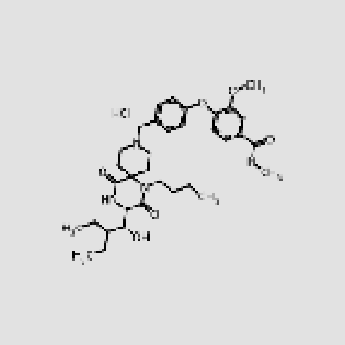 CCCCN1C(=O)[C@@H]([C@H](O)C(CC)CC)NC(=O)C12CCN(Cc1ccc(Oc3ccc(C(=O)NC)cc3OC)cc1)CC2.Cl